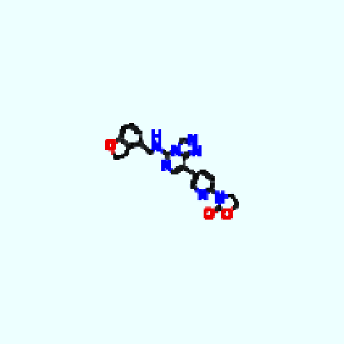 O=C1OCCN1c1ccc(-c2cnc(NCc3cccc4c3CCO4)n3cnnc23)cn1